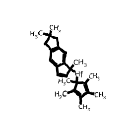 CC1=C(C)[C](C)([Hf][C]2(C)C=Cc3cc4c(cc32)CC(C)(C)C4)C(C)=C1C